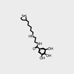 O=C(NCCNCCCCCC1CCSS1)c1cc(O)c(O)c(O)c1